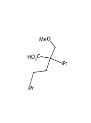 COCC(CCC(C)C)(C(=O)O)C(C)C